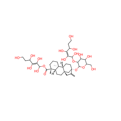 C=C1C[C@@]23CC[C@H]4[C@@](C)(CCC[C@@]4(C)C(=O)OC(O)/C(O)=C(\O)C(O)CCO)[C@@H]2CC[C@]1(OC1OC(CO)C(O)C(O)C1OC(O)/C(O)=C(/O)C(O)CCO)C3